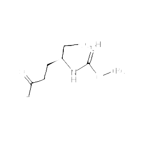 CCC(=O)CC[C@@H](CC(=O)O)NC(=O)OC(C)(C)C